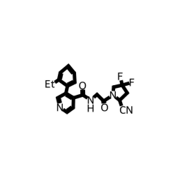 CCc1ccccc1-c1cnccc1C(=O)NCC(=O)N1CC(F)(F)CC1C#N